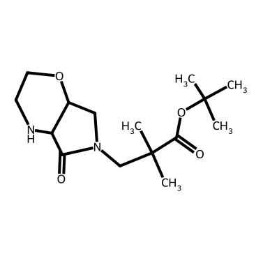 CC(C)(C)OC(=O)C(C)(C)CN1CC2OCCNC2C1=O